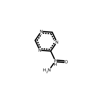 N[PH](=O)c1ncncn1